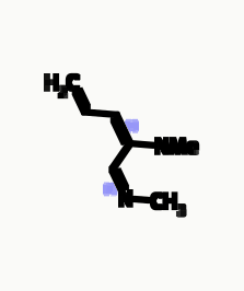 C=C/C=C(\C=N/C)NC